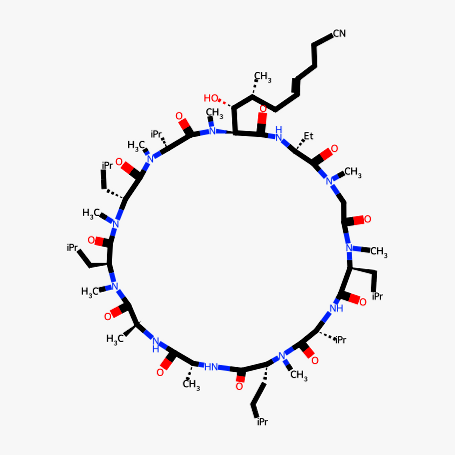 CC[C@H]1NC(=O)[C@H]([C@H](O)[C@H](C)C/C=C/CCC#N)N(C)C(=O)[C@@H](C(C)C)N(C)C(=O)[C@@H](CC(C)C)N(C)C(=O)[C@H](CC(C)C)N(C)C(=O)[C@H](C)NC(=O)[C@@H](C)NC(=O)[C@@H](CCC(C)C)N(C)C(=O)[C@@H](C(C)C)NC(=O)[C@H](CC(C)C)N(C)C(=O)CN(C)C1=O